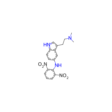 CN(C)CCc1c[nH]c2ccc(Nc3c([N+](=O)[O-])cccc3[N+](=O)[O-])cc12